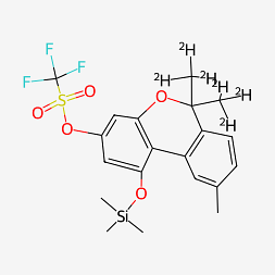 [2H]C([2H])([2H])C1(C([2H])([2H])[2H])Oc2cc(OS(=O)(=O)C(F)(F)F)cc(O[Si](C)(C)C)c2-c2cc(C)ccc21